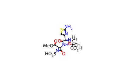 COC(=O)C1C(NC(=O)C(=NOC(C)(C)C(=O)O)c2csc(N)n2)C(=O)N1S(=O)(=O)O